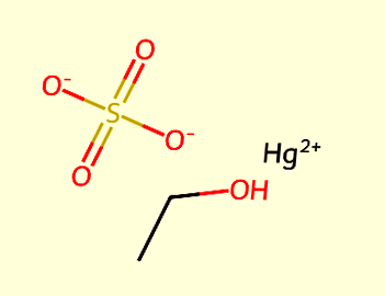 CCO.O=S(=O)([O-])[O-].[Hg+2]